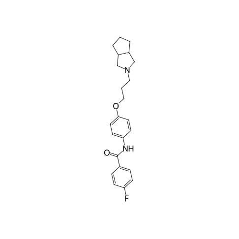 O=C(Nc1ccc(OCCCN2CC3CCCC3C2)cc1)c1ccc(F)cc1